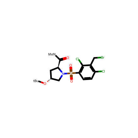 CNC(=O)[C@@H]1C[C@@H](OC(C)(C)C)CN1S(=O)(=O)c1ccc(Cl)c(CBr)c1Cl